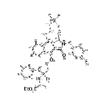 CCOC(=O)[C@H](C)NP(=O)(CCOc1c2c(c(OCC[Si](C)(C)C)c3ncccc13)C(=O)N(Cc1ccc(F)cc1)C2=O)Oc1ccccc1